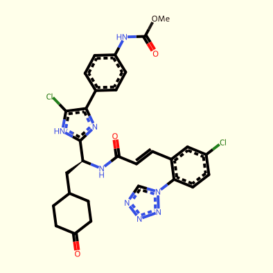 COC(=O)Nc1ccc(-c2nc([C@H](CC3CCC(=O)CC3)NC(=O)C=Cc3cc(Cl)ccc3-n3cnnn3)[nH]c2Cl)cc1